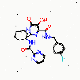 O=C(NC12CCC(CC1)Cn1c2nc(C(=O)NCc2ccc(F)cc2)c(O)c1=O)c1ncccn1